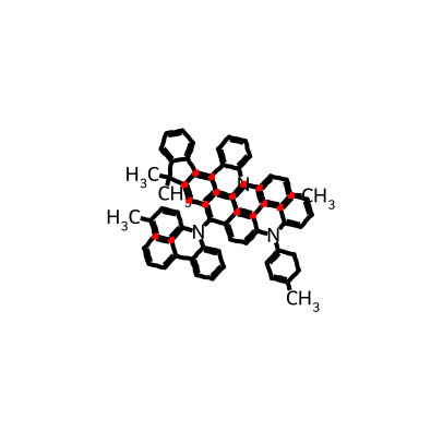 CC1=CC=C(N(c2ccc3c(N(c4ccc(C)cc4)c4ccccc4-c4ccccc4)c4cc5c(cc4c(N(c4ccc(C)cc4)c4ccccc4-c4ccccc4)c3c2)-c2ccccc2C5(C)C)c2ccccc2-c2ccccc2)CC1